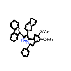 COc1cc2cc(-c3ccccc3)n3nc(-c4cc5ccccc5c5ccccc45)c(-c4ccc5ccccc5c4)c3c2cc1OC